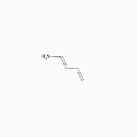 C=C/C=C/N